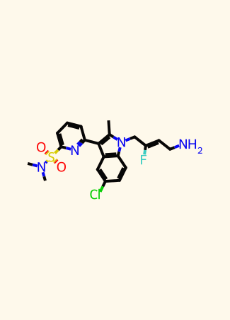 Cc1c(-c2cccc(S(=O)(=O)N(C)C)n2)c2cc(Cl)ccc2n1C/C(F)=C/CN